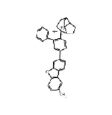 Cc1ccc2oc3cc(-c4ccc([C@@H]5CCC6C[C@H]7C6CCC75)c(-c5ccccc5)c4)ccc3c2c1